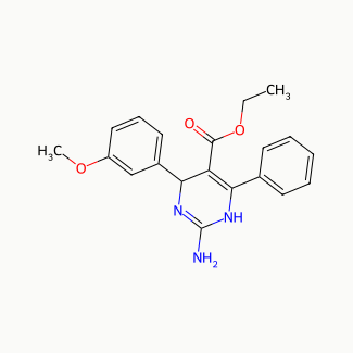 CCOC(=O)C1=C(c2ccccc2)NC(N)=NC1c1cccc(OC)c1